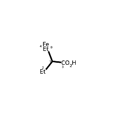 CCC(CC)C(=O)O.[Fe]